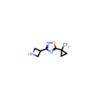 FC(F)(F)C1(c2nc(C3CNC3)no2)CC1